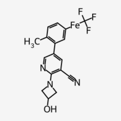 Cc1cc[c]([Fe][C](F)(F)F)cc1-c1cnc(N2CC(O)C2)c(C#N)c1